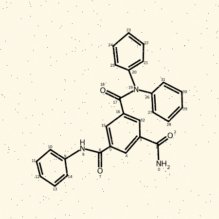 NC(=O)c1cc(C(=O)Nc2ccccc2)cc(C(=O)N(c2ccccc2)c2ccccc2)c1